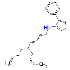 C=CCCC(/C=C/C=C/NC1=CCC=C1c1ccccc1)C/C=C\C